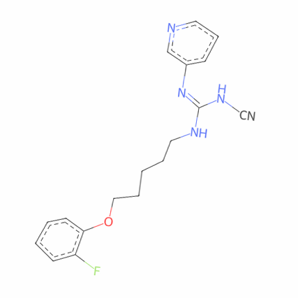 N#CN/C(=N\c1cccnc1)NCCCCCOc1ccccc1F